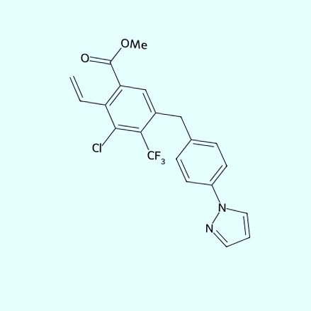 C=Cc1c(C(=O)OC)cc(Cc2ccc(-n3cccn3)cc2)c(C(F)(F)F)c1Cl